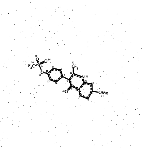 COc1ccn2c(=O)c(-c3ccc(OS(=O)(=O)C(F)(F)F)cc3)c(C(F)(F)F)nc2c1